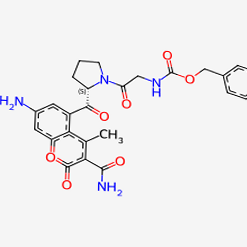 Cc1c(C(N)=O)c(=O)oc2cc(N)cc(C(=O)[C@@H]3CCCN3C(=O)CNC(=O)OCc3ccccc3)c12